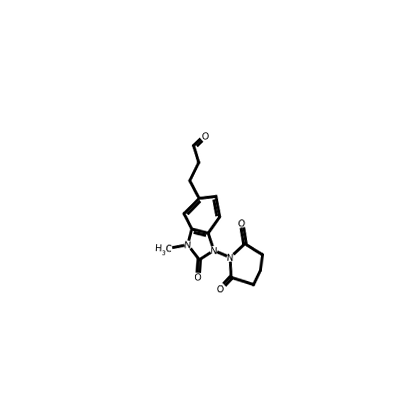 Cn1c(=O)n(N2C(=O)CCCC2=O)c2ccc(CCC=O)cc21